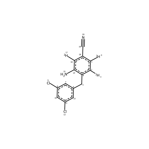 [2H]c1c([2H])c(Cc2cc(Cl)cc(Cl)c2)c(N)c([2H])c1C#N